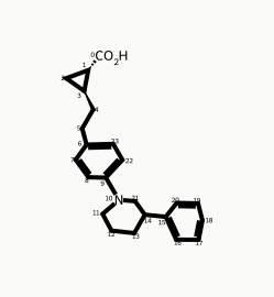 O=C(O)[C@H]1C[C@@H]1CCc1ccc(N2CCCC(c3ccccc3)C2)cc1